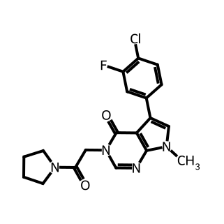 Cn1cc(-c2ccc(Cl)c(F)c2)c2c(=O)n(CC(=O)N3CCCC3)cnc21